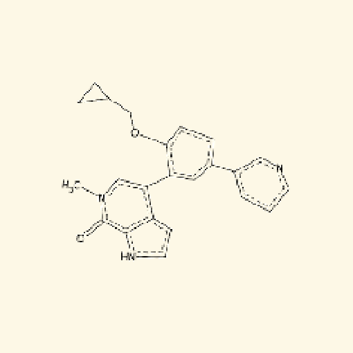 Cn1cc(-c2cc(-c3cccnc3)ccc2OCC2CC2)c2cc[nH]c2c1=O